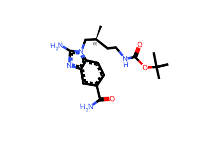 C[C@@H](CCNC(=O)OC(C)(C)C)Cn1c(N)nc2cc(C(N)=O)ccc21